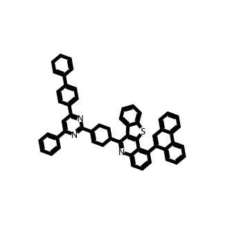 C1=CC(c2ccc(-c3cc(-c4ccccc4)nc(C4=CCC(c5nc6cccc(-c7cc8ccccc8c8ccccc78)c6c6sc7ccccc7c56)CC4)n3)cc2)=CCC1